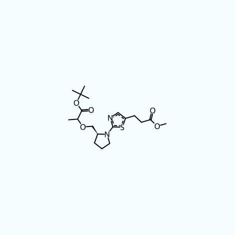 COC(=O)CCc1cnc(N2CCC[C@H]2COC(C)C(=O)OC(C)(C)C)s1